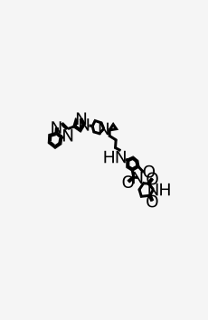 O=C1CCC(N2C(=O)c3ccc(NCCCCC4(N5CCC(n6cc(-c7cnc8ccccc8n7)cn6)CC5)CC4)cc3C2=O)C(=O)N1